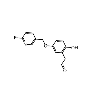 O=CCc1cc(OCc2ccc(F)nc2)ccc1O